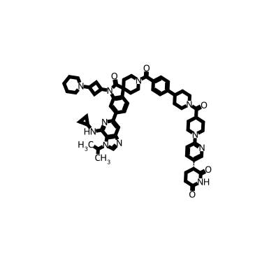 CC(C)n1cnc2cc(-c3ccc4c(c3)N(C3CC(N5CCCCC5)C3)C(=O)C43CCN(C(=O)c4ccc(C5CCN(C(=O)C6CCN(c7ccc([C@H]8CCC(=O)NC8=O)cn7)CC6)CC5)cc4)CC3)nc(NC3CC3)c21